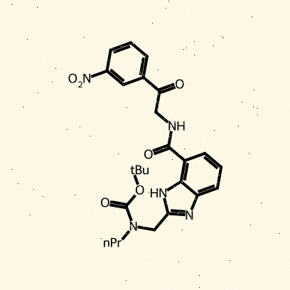 CCCN(Cc1nc2cccc(C(=O)NCC(=O)c3cccc([N+](=O)[O-])c3)c2[nH]1)C(=O)OC(C)(C)C